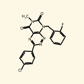 Cn1c(=O)c2nc(-c3ccc(Cl)cc3)nnc2n(Cc2ccccc2F)c1=O